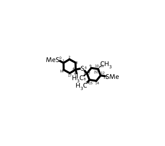 CSC1CCC(I)(S[C@]2(C)C[C@H](C)C(SC)CC2C)CC1